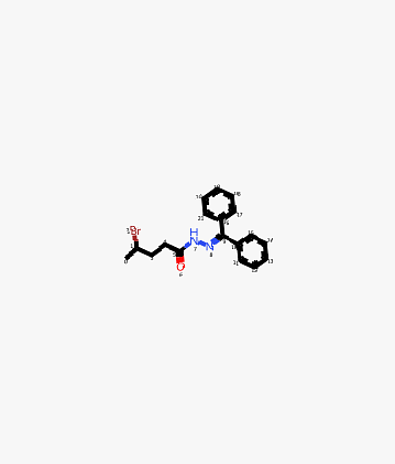 CC(Br)CCC(=O)NN=C(c1ccccc1)c1ccccc1